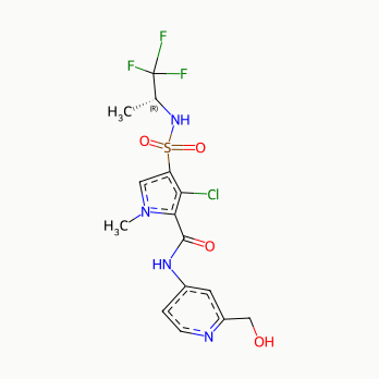 C[C@@H](NS(=O)(=O)c1cn(C)c(C(=O)Nc2ccnc(CO)c2)c1Cl)C(F)(F)F